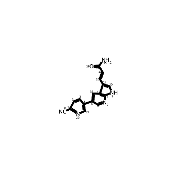 N#Cc1ccc(-c2cnc3[nH]cc(/C=C/C(N)=O)c3c2)cn1